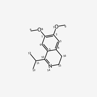 COc1cc2c(cc1OC)C(C(C)C)=NCC2